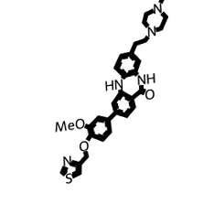 COc1cc(-c2ccc3c(c2)Nc2ccc(CCN4CCN(C)CC4)cc2NC3=O)ccc1OCc1cscn1